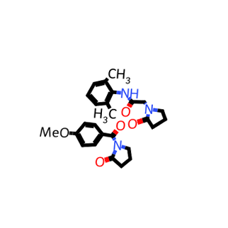 COc1ccc(C(=O)N2CCCC2=O)cc1.Cc1cccc(C)c1NC(=O)CN1CCCC1=O